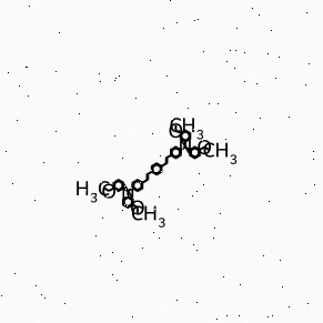 COc1cccc(N(c2ccc(/C=C/c3ccc(/C=C/c4ccc(N(c5cccc(OC)c5)c5cccc(OC)c5)cc4)cc3)cc2)c2cccc(OC)c2)c1